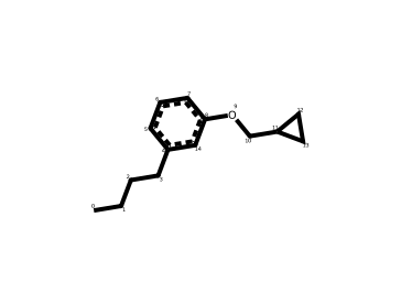 CCCCc1cccc(OCC2CC2)c1